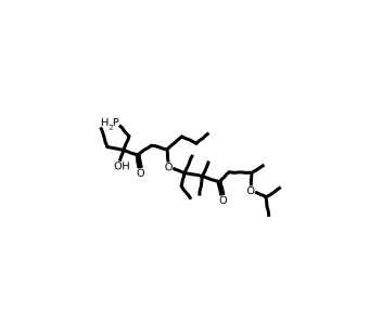 CCCC(CC(=O)C(O)(CC)CP)OC(C)(CC)C(C)(C)C(=O)CC(C)OC(C)C